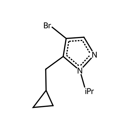 CC(C)n1ncc(Br)c1CC1CC1